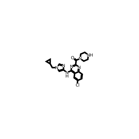 O=C(c1nc(Nc2cn(CC3CC3)cn2)c2cc(Cl)ccc2n1)N1CCNCC1